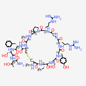 CC(C)C[C@@H]1NC(=O)[C@@H](NC(C)C)CSSC[C@@H](C(=O)N[C@@H](Cc2ccccc2)C(=O)N[C@@H](CO)C(=O)N[C@H](C(N)=O)[C@@H](C)O)NC(=O)[C@H](C(C)C)NC(=O)[C@@H]2CCCN2C(=O)[C@H](CCCNC(=N)N)NC(=O)CNC(=O)[C@H](CCCNC(=N)N)NC(=O)[C@H](Cc2ccc(O)cc2)NC(=O)[C@H](CO)NC1=O